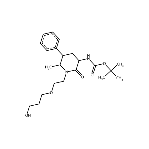 CC1C(c2ccccc2)CC(NC(=O)OC(C)(C)C)C(=O)N1CCOCCCO